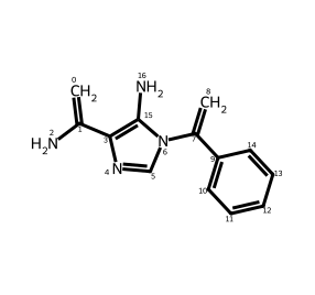 C=C(N)c1ncn(C(=C)c2ccccc2)c1N